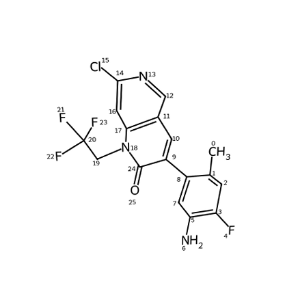 Cc1cc(F)c(N)cc1-c1cc2cnc(Cl)cc2n(CC(F)(F)F)c1=O